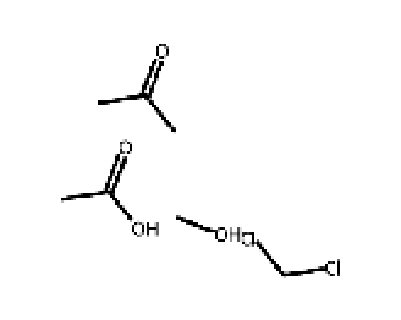 CC(=O)O.CC(C)=O.CO.ClCCl